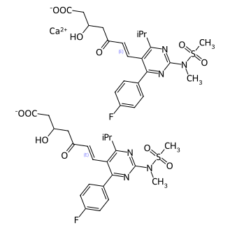 CC(C)c1nc(N(C)S(C)(=O)=O)nc(-c2ccc(F)cc2)c1/C=C/C(=O)CC(O)CC(=O)[O-].CC(C)c1nc(N(C)S(C)(=O)=O)nc(-c2ccc(F)cc2)c1/C=C/C(=O)CC(O)CC(=O)[O-].[Ca+2]